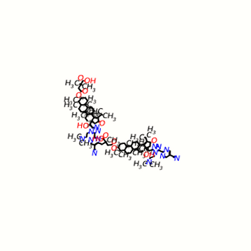 CC(C)C1=C2[C@H]3CCC4[C@@]5(C)CC[C@H](OC(=O)CC(C)(Cc6nc(-c7nnc([C@H](O)[C@@]89CC[C@]%10(C)[C@H](CCC%11[C@@]%12(C)CC[C@H](OC(=O)CC(C)(C)C(=O)O)C(C)(C)C%12CC[C@]%11%10C)C8=C(C(C)C)C(=O)C9)n7CCN(C)C)ncc6C#N)C(=O)O)C(C)(C)C5CC[C@@]4(C)[C@]3(C)CC[C@@]2([C@H](O)c2nnc(-c3ncc(C#N)cn3)n2CCN(C)C)CC1=O